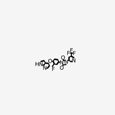 O=C1CN(c2cncc(C(F)(F)F)c2)C(=O)N1c1ccc(Oc2ccnc3[nH]ccc23)c(CF)c1